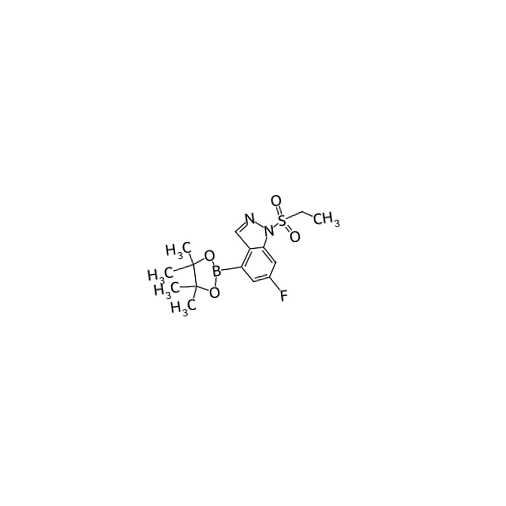 CCS(=O)(=O)n1ncc2c(B3OC(C)(C)C(C)(C)O3)cc(F)cc21